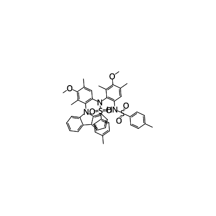 COc1c(C)cc(NS(=O)(=O)c2ccc(C)cc2)c(N(c2cc(C)c(OC)c(C)c2-n2c3ccccc3c3ccccc32)S(=O)(=O)c2ccc(C)cc2)c1C